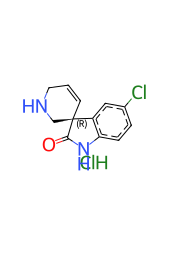 Cl.O=C1Nc2ccc(Cl)cc2[C@@]12C=CCNC2